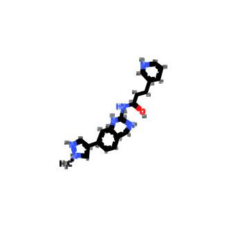 Cn1cc(-c2ccc3cnc(NC(=O)CCc4cccnc4)nc3c2)cn1